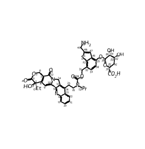 CC[C@]1(O)C(=O)OCc2c1cc1n(c2=O)Cc2c-1nc1ccccc1c2CCN(C(=O)OCc1ccc(O[C@@H]2O[C@H](C(=O)O)C[C@H](O)[C@H]2O)c2cc(CN)sc12)C(C)C